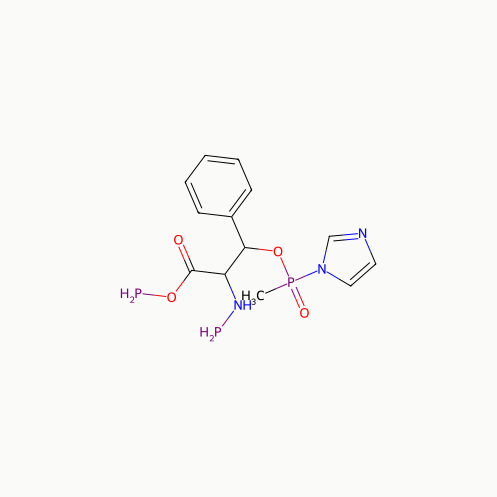 CP(=O)(OC(c1ccccc1)C(NP)C(=O)OP)n1ccnc1